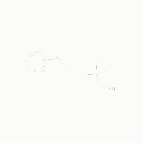 CO[Si](CCC=Nc1ccccc1)(OC)OC